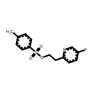 Cc1ccc(S(=O)(=O)OCCc2ccc(F)cn2)cc1